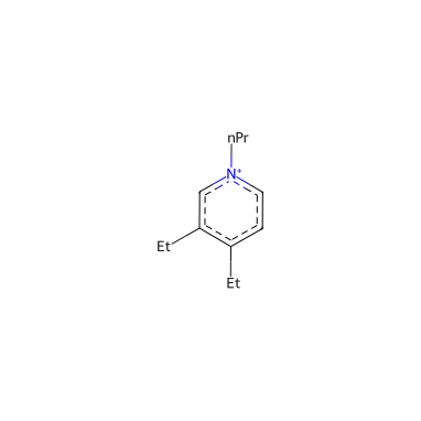 CCC[n+]1ccc(CC)c(CC)c1